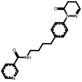 O=C(NCCCCc1ccc(N2N=CCCC2=O)cc1)c1cccnc1